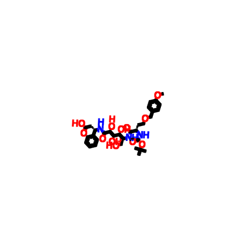 COc1ccc(COCC[C@H](NC(=O)OC(C)(C)C)C(=O)N[C@@H](CO)[C@@H](O)[C@@H](O)[C@H](O)C(=O)N[C@@H](CC(=O)O)c2ccccc2)cc1